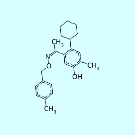 CC(=NOCc1ccc(C)cc1)c1cc(O)c(C)cc1C1CCCCC1